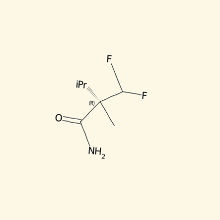 CC(C)[C@](C)(C(N)=O)C(F)F